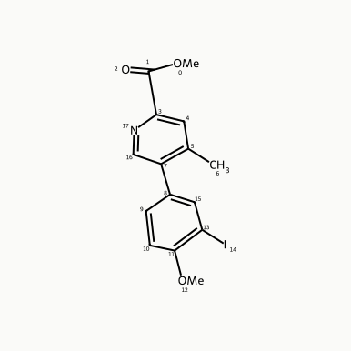 COC(=O)c1cc(C)c(-c2ccc(OC)c(I)c2)cn1